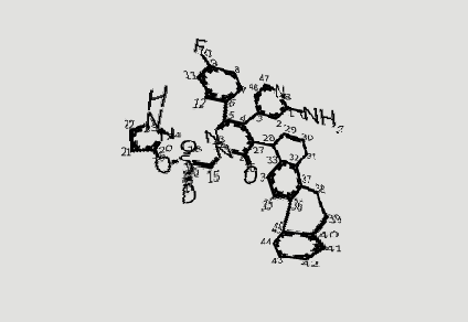 Nc1cc(-c2c(-c3ccc(F)cc3)nn(CS(=O)(=O)Oc3cc[nH]n3)c(=O)c2C2C=CCc3c2ccc2c3CCc3ccccc3-2)ccn1